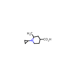 CC1CC(C(=O)O)CCN1C1CC1